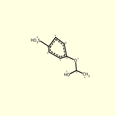 CC(O)Oc1ccc(S(=O)(=O)O)cc1